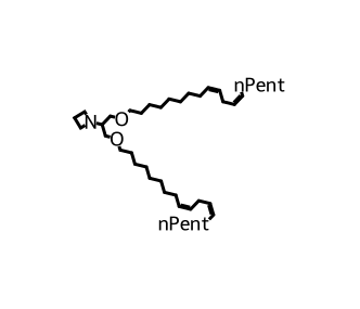 CCCCC/C=C\C/C=C\CCCCCCCCOCC(COCCCCCCCC/C=C\C/C=C\CCCCC)N1CCC1